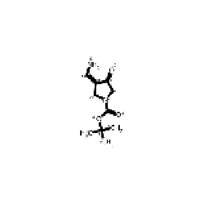 CC(C)(C)OC(=O)N1CC(=O)C(=CN)C1